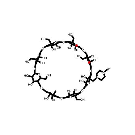 CC1OC2OC3C(CO)OC(OC4C(CO)OC(OC5C(CO)OC(OC6C(CO)OC(OC7C(CO)OC(OC8C(CN9CCN(C(C)C)CC9)OC(OC9C(CO)OC(OC1C(O)C2O)C(O)C9O)C(O)C8O)C(O)C7O)C(O)C6O)C(O)C5O)C(O)C4O)C(O)C3O